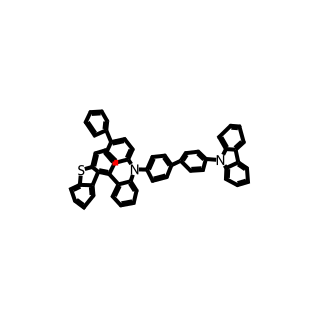 c1ccc(-c2ccc(N(c3ccc(-c4ccc(-n5c6ccccc6c6ccccc65)cc4)cc3)c3ccccc3-c3cccc4sc5ccccc5c34)cc2)cc1